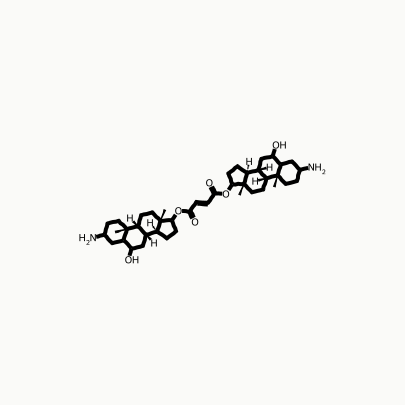 C[C@]12CCC(N)CC1C(O)C[C@@H]1[C@H]2CC[C@]2(C)C(OC(=O)/C=C/C(=O)OC3CC[C@H]4[C@@H]5CC(O)C6CC(N)CC[C@]6(C)[C@@H]5CC[C@]34C)CC[C@@H]12